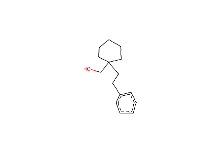 OCC1(CCc2ccccc2)CCCCC1